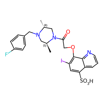 C[C@@H]1CN(C(=O)COc2c(I)cc(S(=O)(=O)O)c3cccnc23)[C@@H](C)CN1Cc1ccc(F)cc1